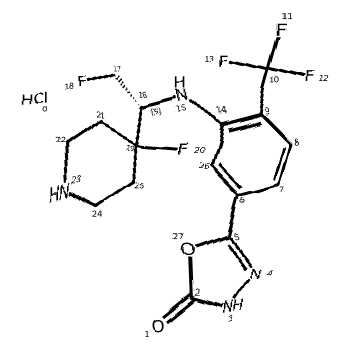 Cl.O=c1[nH]nc(-c2ccc(C(F)(F)F)c(N[C@@H](CF)C3(F)CCNCC3)c2)o1